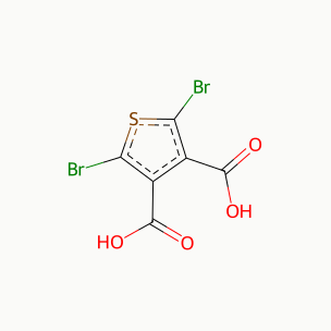 O=C(O)c1c(Br)sc(Br)c1C(=O)O